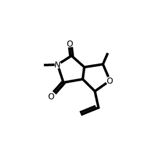 C=CC1OC(C)C2C(=O)N(C)C(=O)C12